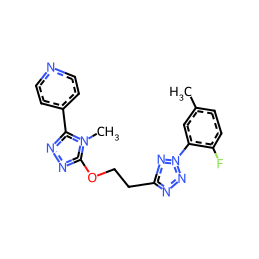 Cc1ccc(F)c(-n2nnc(CCOc3nnc(-c4ccncc4)n3C)n2)c1